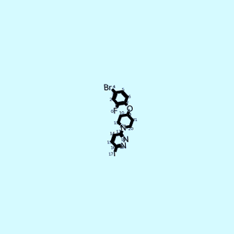 Fc1cc(Br)ccc1OC1CCN(c2ccc(I)nn2)CC1